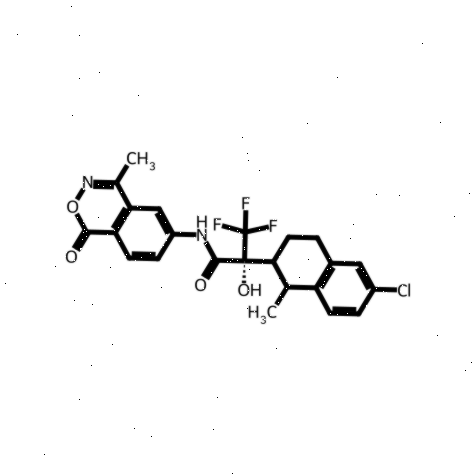 Cc1noc(=O)c2ccc(NC(=O)[C@](O)(C3CCc4cc(Cl)ccc4C3C)C(F)(F)F)cc12